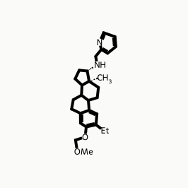 CCc1cc2c(cc1OCOC)CCC1C2CC[C@@]2(C)C1CC[C@@H]2NCc1ccccn1